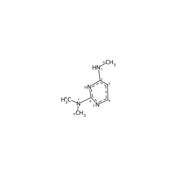 CNc1ccnc(N(C)C)n1